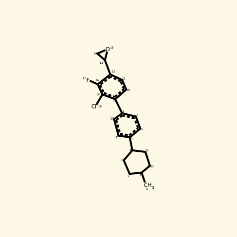 CC1CCC(c2ccc(-c3ccc(C4CO4)c(F)c3Cl)cc2)CC1